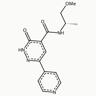 COC[C@H](C)NC(=O)c1cc(-c2ccncc2)n[nH]c1=O